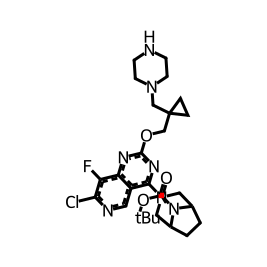 CC(C)(C)OC(=O)N1C2CCC1CN(c1nc(OCC3(CN4CCNCC4)CC3)nc3c(F)c(Cl)ncc13)C2